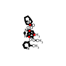 COc1ccc(OC(=O)N2C3CCC2CC(Oc2ncnc(Oc4cccnc4C)c2C)C3)cc1